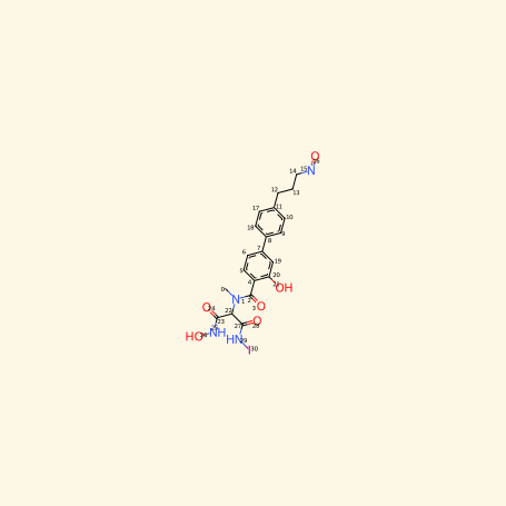 CN(C(=O)c1ccc(-c2ccc(CCCN=O)cc2)cc1O)C(C(=O)NO)C(=O)NI